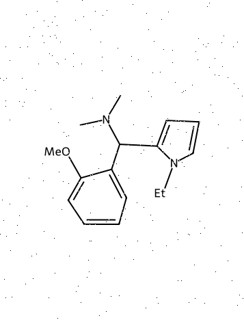 CCn1cccc1C(c1ccccc1OC)N(C)C